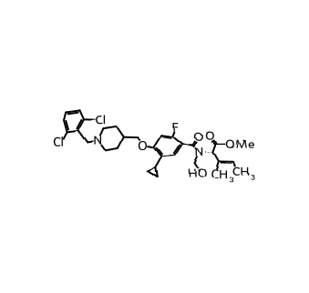 C/C=C(\C)[C@@H](C(=O)OC)N(CO)C(=O)c1cc(C2CC2)c(OCC2CCN(Cc3c(Cl)cccc3Cl)CC2)cc1F